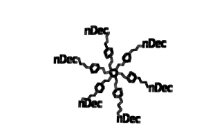 CCCCCCCCCCCCCCc1ccc(CCc2c(CCc3ccc(CCCCCCCCCCCCCC)cc3)c(CCc3ccc(CCCCCCCCCCCCCC)cc3)c(CCc3ccc(CCCCCCCCCCCCCC)cc3)c(CCc3ccc(CCCCCCCCCCCCCC)cc3)c2CCc2ccc(CCCCCCCCCCCCCC)cc2)cc1